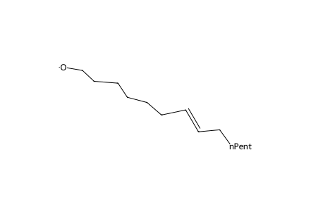 CCCCCC/C=C/CCCCCC[O]